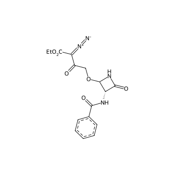 CCOC(=O)C(=[N+]=[N-])C(=O)COC1NC(=O)[C@@H]1NC(=O)c1ccccc1